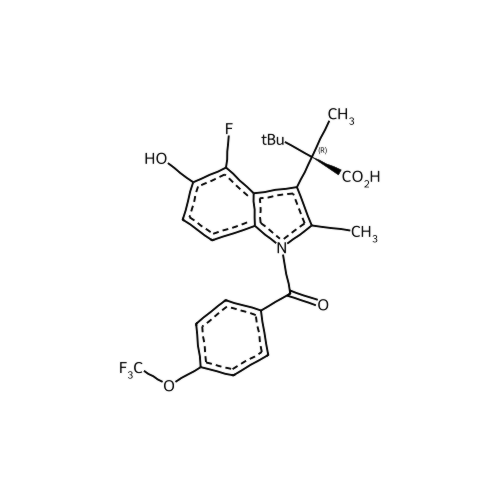 Cc1c([C@](C)(C(=O)O)C(C)(C)C)c2c(F)c(O)ccc2n1C(=O)c1ccc(OC(F)(F)F)cc1